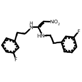 O=[N+]([O-])C=C(NCCc1cccc(F)c1)NCCc1cccc(F)c1